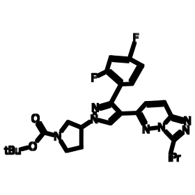 CC(C)c1nnc2ccc(-c3cn(C4CCN(C(=O)OC(C)(C)C)C4)nc3-c3ccc(F)cc3F)nn12